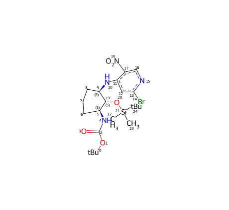 CC(C)(C)OC(=O)N[C@H]1CCC[C@@H](Nc2cc(Br)ncc2[N+](=O)[O-])[C@@H]1O[Si](C)(C)C(C)(C)C